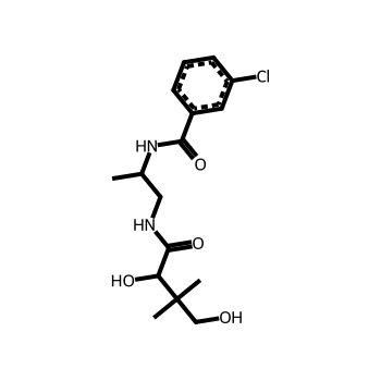 CC(CNC(=O)C(O)C(C)(C)CO)NC(=O)c1cccc(Cl)c1